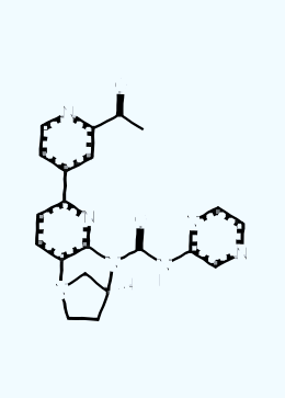 CC(=O)c1cc(-c2ccc3c(n2)N(C(=O)Nc2cnccn2)[C@H]2CCN3C2)ccn1